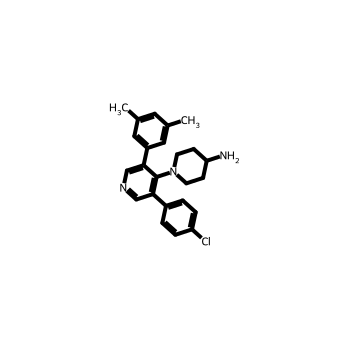 Cc1cc(C)cc(-c2cncc(-c3ccc(Cl)cc3)c2N2CCC(N)CC2)c1